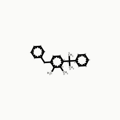 Cc1c(Cc2ccccc2)[c]cc(C(C)(C)c2ccccc2)c1C